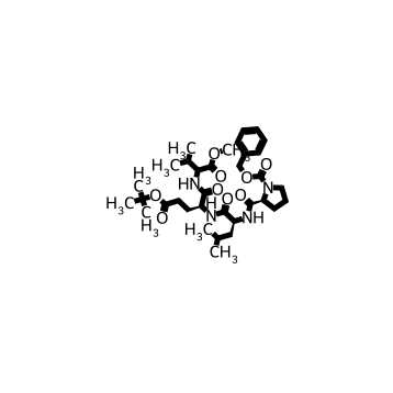 COC(=O)C(NC(=O)[C@H](CCC(=O)OC(C)(C)C)NC(=O)[C@H](CC(C)C)NC(=O)[C@@H]1CCCN1C(=O)OCc1ccccc1)C(C)C